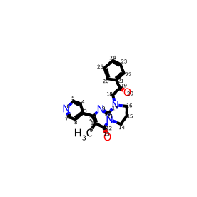 Cc1c(-c2ccncc2)nc2n(c1=O)CCCN2CC(=O)c1ccccc1